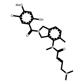 COc1cc(O)c(C(=O)N2Cc3ccc(C)c(N(C)C(=O)/C=C/CN(C)C)c3C2)cc1Cl